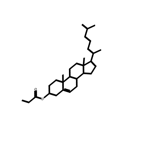 CCC(=O)OC1CCC2(C)C(=CCC3C2CCC2(C)C(C(C)CCCC(C)C)CCC32)C1